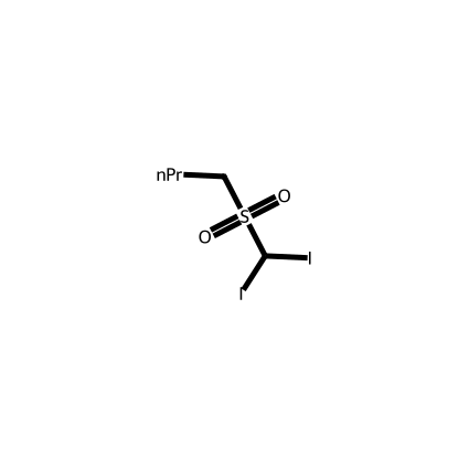 CCCCS(=O)(=O)C(I)I